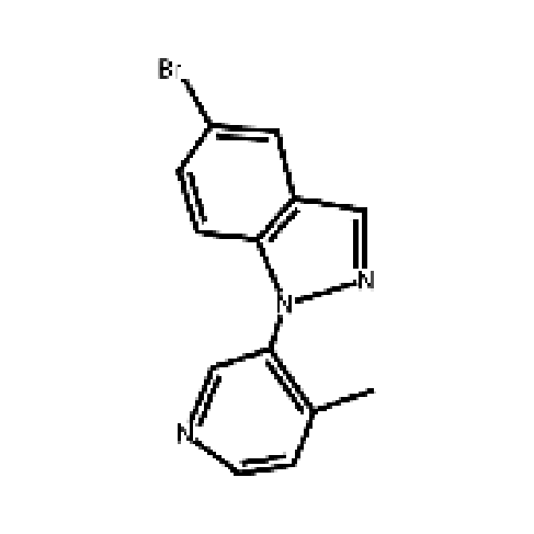 Cc1ccncc1-n1ncc2cc(Br)ccc21